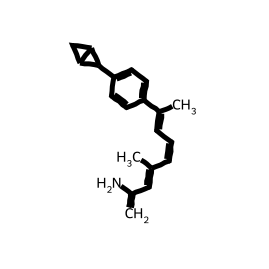 C=C(N)/C=C(C)/C=C\C=C(/C)c1ccc(C2C3CC32)cc1